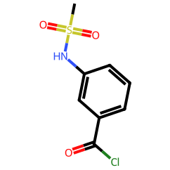 CS(=O)(=O)Nc1cccc(C(=O)Cl)c1